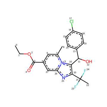 CCOC(=O)c1cc(C)n2c(C(O)c3ccc(Cl)cc3)c(C(C)(F)F)nc2c1